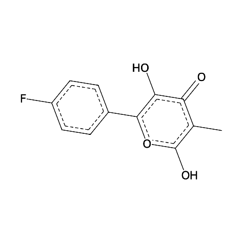 Cc1c(O)oc(-c2ccc(F)cc2)c(O)c1=O